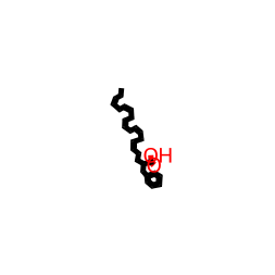 CC/C=C\C/C=C\C/C=C\C/C=C\C/C=C\CCC(Cc1ccccc1)C(=O)O